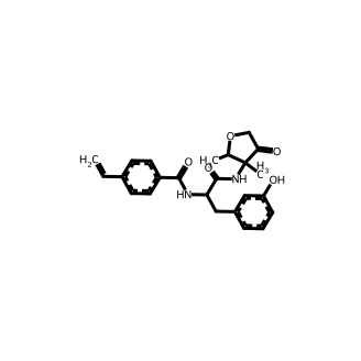 C=Cc1ccc(C(=O)NC(Cc2cccc(O)c2)C(=O)NC2(C)C(=O)COC2C)cc1